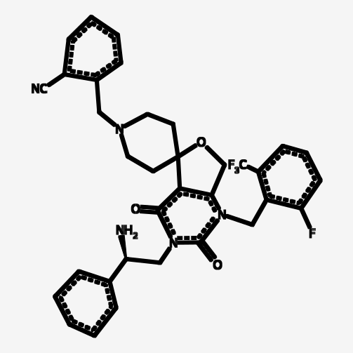 N#Cc1ccccc1CN1CCC2(CC1)OCc1c2c(=O)n(C[C@H](N)c2ccccc2)c(=O)n1Cc1c(F)cccc1C(F)(F)F